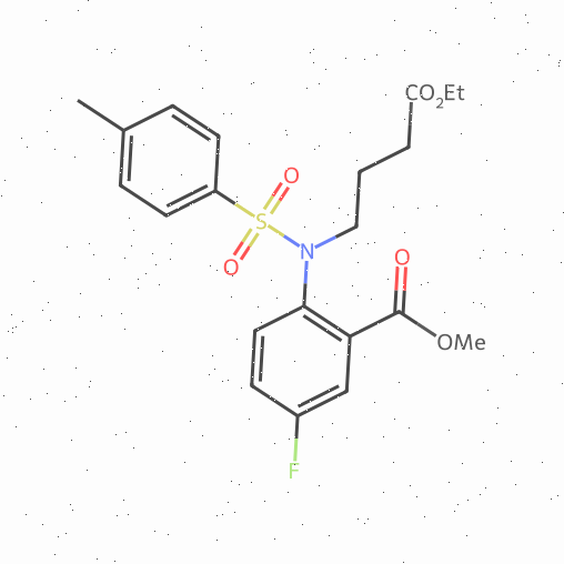 CCOC(=O)CCCN(c1ccc(F)cc1C(=O)OC)S(=O)(=O)c1ccc(C)cc1